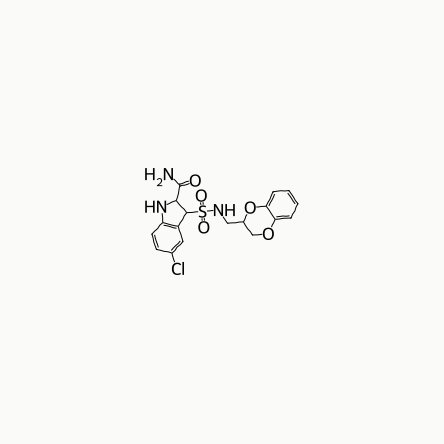 NC(=O)C1Nc2ccc(Cl)cc2C1S(=O)(=O)NCC1COc2ccccc2O1